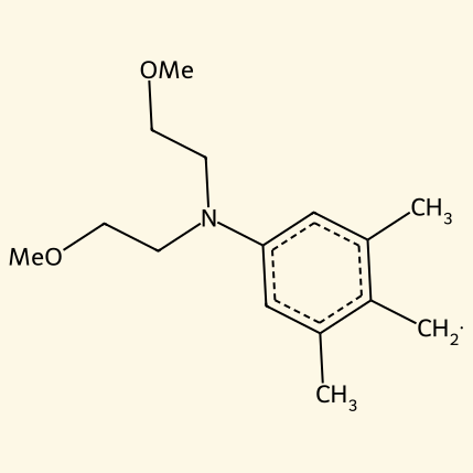 [CH2]c1c(C)cc(N(CCOC)CCOC)cc1C